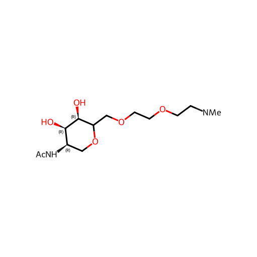 CNCCOCCOCC1OC[C@@H](NC(C)=O)[C@@H](O)[C@H]1O